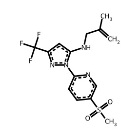 C=C(C)CNc1cc(C(F)(F)F)nn1-c1ccc(S(C)(=O)=O)cn1